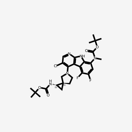 CN(C(=O)OC(C)(C)C)c1cc(F)c(F)c2c1[nH]c1ncc(Cl)c(N3CC[C@]4(C[C@@H]4NC(=O)OC(C)(C)C)C3)c12